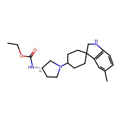 CCOC(=O)N[C@H]1CCN(C2CCC3(CC2)CNc2ccc(C)cc23)C1